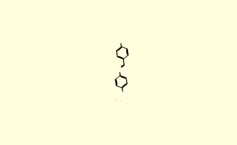 COc1ccc(C=Nc2ccc(O[Si](C)(C)C(C)(C)C)cc2)cc1